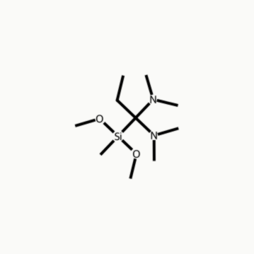 CCC(N(C)C)(N(C)C)[Si](C)(OC)OC